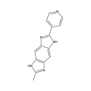 Cc1nc2cc3[nH]c(-c4ccncc4)nc3cc2[nH]1